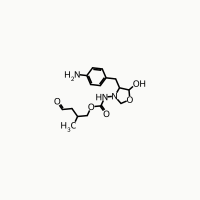 CC(CC=O)COC(=O)NN1COC(O)C1Cc1ccc(N)cc1